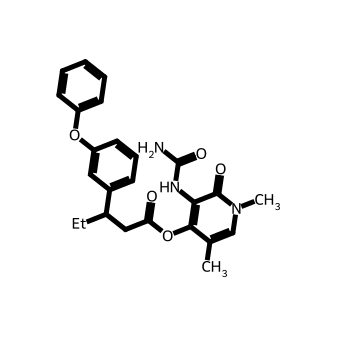 CCC(CC(=O)Oc1c(C)cn(C)c(=O)c1NC(N)=O)c1cccc(Oc2ccccc2)c1